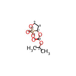 CC(C)OC(=O)OC1CCOS1(=O)=O